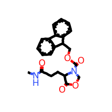 CNC(=O)CCC1C(=O)OCN1C(=O)OCC1c2ccccc2-c2ccccc21